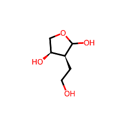 OCC[C@@H]1C(O)OC[C@@H]1O